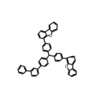 c1ccc(-c2cccc(-c3ccc(C(c4ccc(-c5cccc6c5oc5ccccc56)cc4)c4ccc(-c5cccc6c5oc5ccccc56)cc4)cc3)c2)cc1